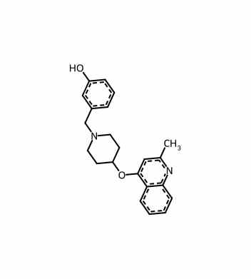 Cc1cc(OC2CCN(Cc3cccc(O)c3)CC2)c2ccccc2n1